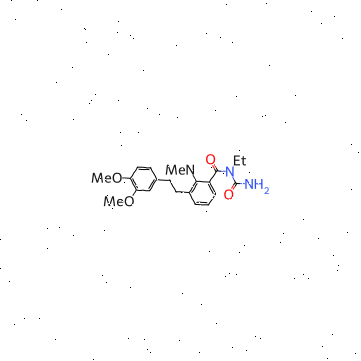 CCN(C(N)=O)C(=O)c1cccc(CCc2ccc(OC)c(OC)c2)c1NC